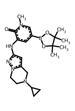 Cn1cc(B2OC(C)(C)C(C)(C)O2)cc(Nc2cc3n(n2)CCN(C2CC2)C3)c1=O